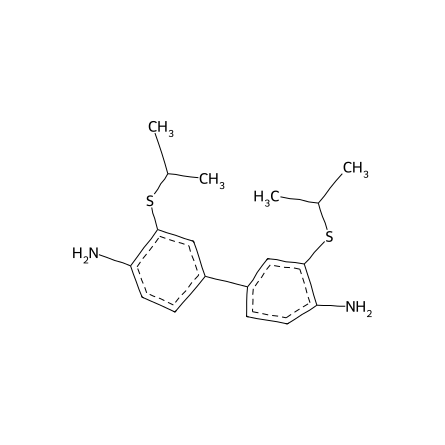 CC(C)Sc1cc(-c2ccc(N)c(SC(C)C)c2)ccc1N